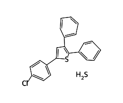 Clc1ccc(-c2cc(-c3ccccc3)c(-c3ccccc3)s2)cc1.S